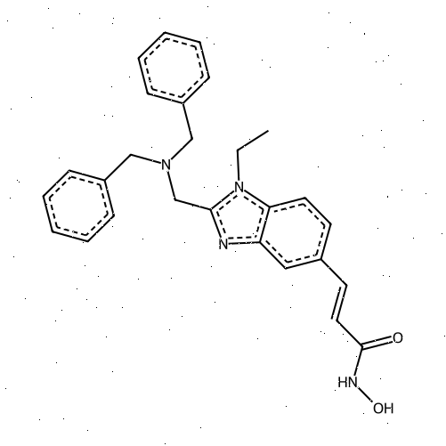 CCn1c(CN(Cc2ccccc2)Cc2ccccc2)nc2cc(C=CC(=O)NO)ccc21